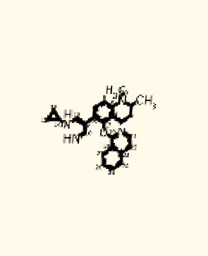 CC1CCc2c(ccc(/C(C=N)=C/NC3CC3)c2Oc2nccc3ccccc23)N1C